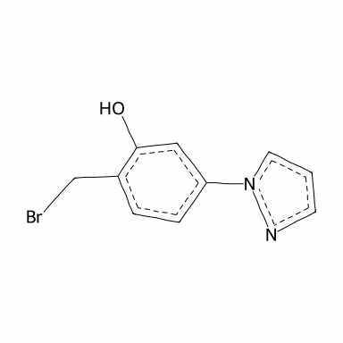 Oc1cc(-n2cccn2)ccc1CBr